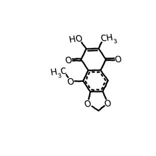 COc1c2c(cc3c1C(=O)C(O)=C(C)C3=O)OCO2